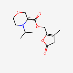 CC1=C(COC(=O)[C@@H]2COCCN2C(C)C)OC(=O)C1